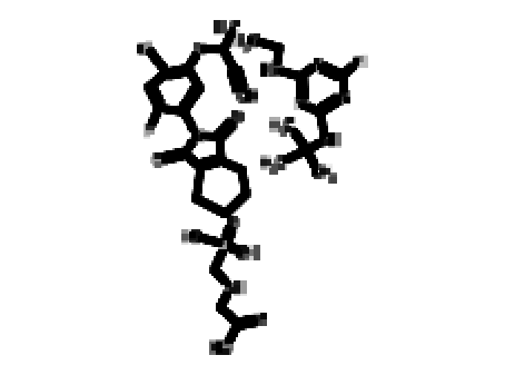 C#CC(C)Oc1cc(N2C(=O)C3=C(CCCC3)C2=O)c(F)cc1Cl.CCNc1nc(Cl)nc(NC(C)(C)C)n1.O=C(O)CNCP(=O)(O)O